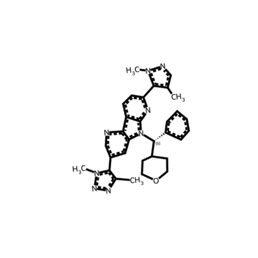 Cc1cnn(C)c1-c1ccc2c3ncc(-c4c(C)nnn4C)cc3n([C@H](c3ccccc3)C3CCOCC3)c2n1